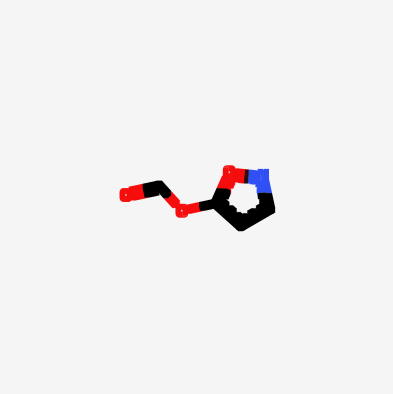 O=COc1ccno1